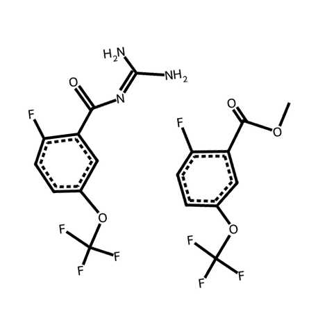 COC(=O)c1cc(OC(F)(F)F)ccc1F.NC(N)=NC(=O)c1cc(OC(F)(F)F)ccc1F